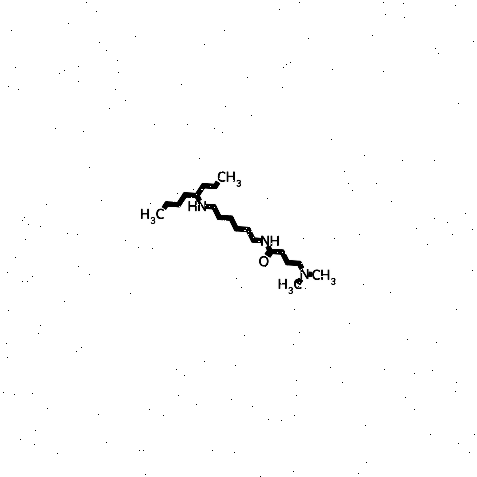 CCCCC(CCC)NCCCCCCNC(=O)CCCN(C)C